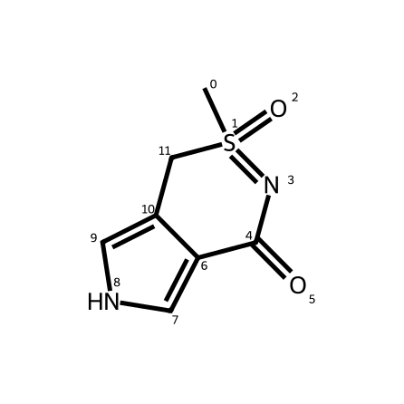 CS1(=O)=NC(=O)c2c[nH]cc2C1